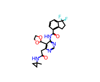 CC1(NC(=O)Cc2ncnc(NC(=O)c3cccc4c3CCC4(F)F)c2C2OCCO2)CC1